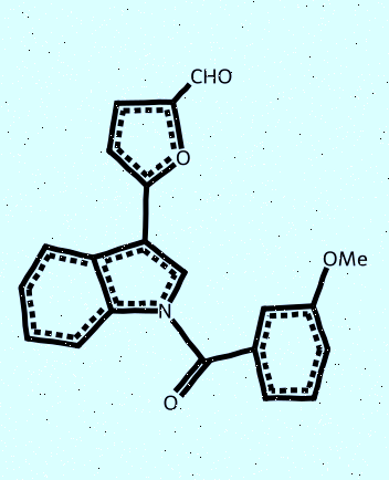 COc1cccc(C(=O)n2cc(-c3ccc(C=O)o3)c3ccccc32)c1